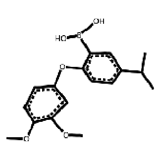 COc1ccc(Oc2ccc(C(C)C)cc2B(O)O)cc1OC